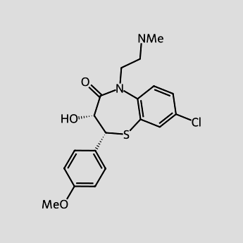 CNCCN1C(=O)[C@@H](O)[C@@H](c2ccc(OC)cc2)Sc2cc(Cl)ccc21